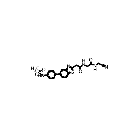 CS(=O)(=O)Nc1ccc(-c2ccc3sc(CC(=O)NCC(=O)NCC#N)nc3c2)cc1